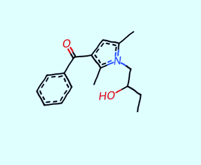 CCC(O)Cn1c(C)cc(C(=O)c2ccccc2)c1C